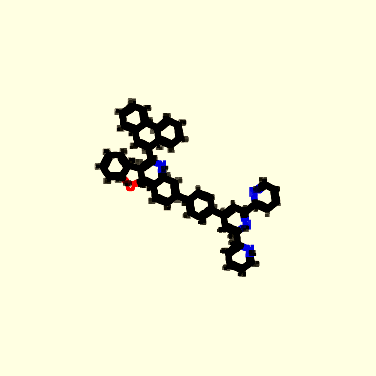 c1ccc(-c2cc(-c3ccc(-c4ccc5c(c4)nc(-c4cc6ccccc6c6ccccc46)c4c6ccccc6oc54)cc3)cc(-c3ccccn3)n2)nc1